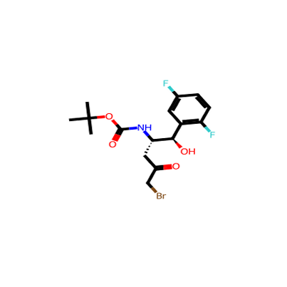 CC(C)(C)OC(=O)N[C@@H](CC(=O)CBr)[C@H](O)c1cc(F)ccc1F